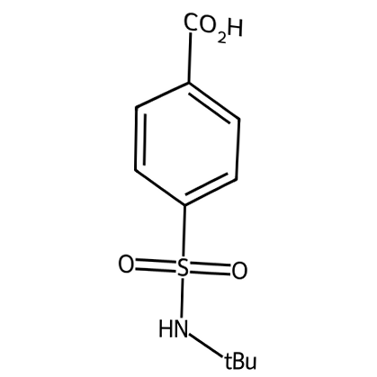 CC(C)(C)NS(=O)(=O)c1ccc(C(=O)O)cc1